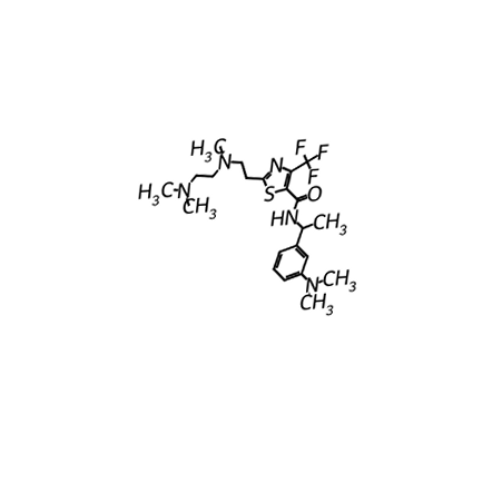 CC(NC(=O)c1sc(CCN(C)CCN(C)C)nc1C(F)(F)F)c1cccc(N(C)C)c1